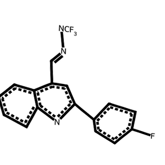 Fc1ccc(-c2cc(C=NNC(F)(F)F)c3ccccc3n2)cc1